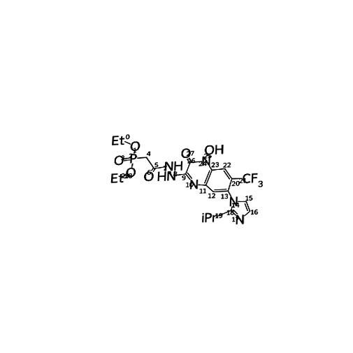 CCOP(=O)(CC(=O)NNc1nc2cc(-n3ccnc3C(C)C)c(C(F)(F)F)cc2n(O)c1=O)OCC